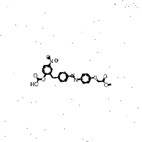 COC(=O)COc1ccc(N=Nc2ccc(Cc3cc([N+](=O)[O-])ccc3OC(=O)O)cc2)cc1